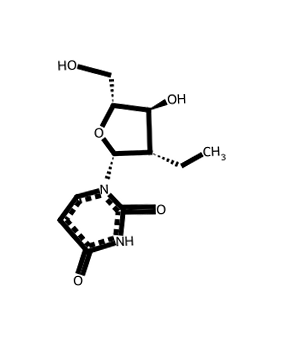 CC[C@H]1[C@H](O)[C@@H](CO)O[C@H]1n1ccc(=O)[nH]c1=O